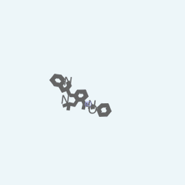 C/C(=N\Oc1ccccc1)c1cccc2c1CC(C)(C)N=C2c1cnc2ccccc2c1